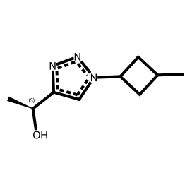 CC1CC(n2cc([C@H](C)O)nn2)C1